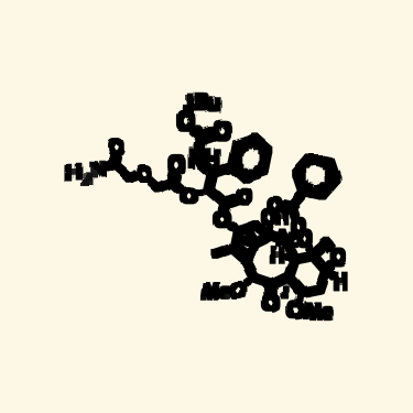 CO[C@H]1C(=O)[C@]2(C)[C@@H](OC)C[C@H]3OC[C@@]3(OC(C)=O)[C@H]2[C@H](OC(=O)c2ccccc2)[C@]2(O)C[C@H](OC(=O)[C@H](OC(=O)COCC(N)=O)C(NC(=O)OC(C)(C)C)c3ccccc3)C(C)=C1C2(C)C